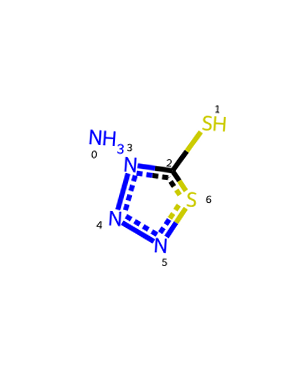 N.Sc1nnns1